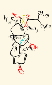 CC(C)C(=O)O[C@]1(C(=O)S)[C@@H](C)C[C@H]2[C@@H]3CCC4=CC(=O)C=C[C@]4(C)[C@@]3(F)[C@@H](O)C[C@@]21C